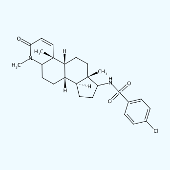 CN1C(=O)C=C[C@@]2(C)C1CC[C@@H]1[C@H]2CC[C@]2(C)C(NS(=O)(=O)c3ccc(Cl)cc3)CC[C@@H]12